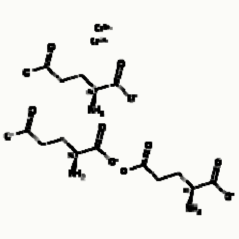 N[C@@H](CCC(=O)[O-])C(=O)[O-].N[C@@H](CCC(=O)[O-])C(=O)[O-].N[C@@H](CCC(=O)[O-])C(=O)[O-].[Cr+3].[Cr+3]